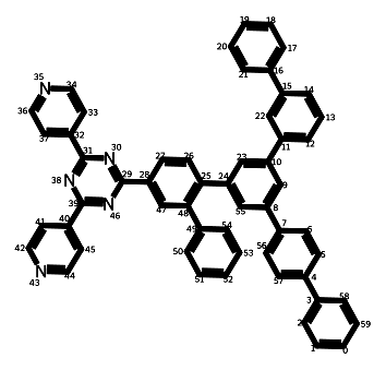 c1ccc(-c2ccc(-c3cc(-c4cccc(-c5ccccc5)c4)cc(-c4ccc(-c5nc(-c6ccncc6)nc(-c6ccncc6)n5)cc4-c4ccccc4)c3)cc2)cc1